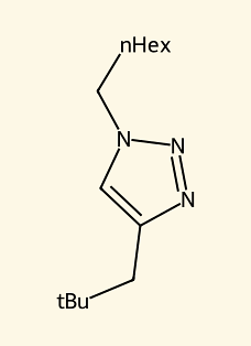 CCCCCCCn1cc(CC(C)(C)C)nn1